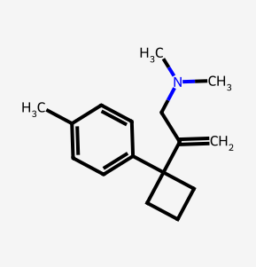 C=C(CN(C)C)C1(c2ccc(C)cc2)CCC1